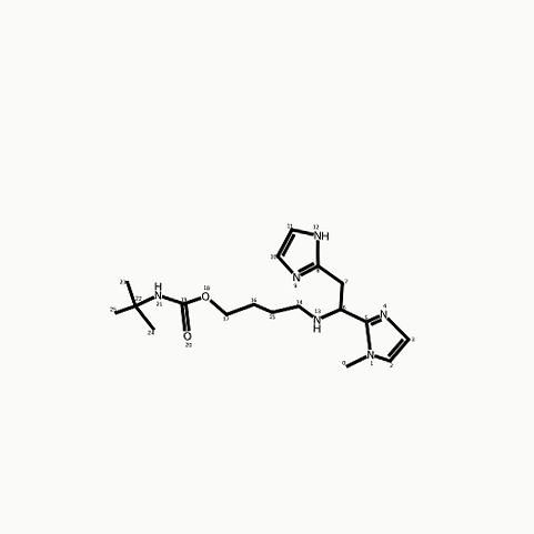 Cn1ccnc1C(Cc1ncc[nH]1)NCCCCOC(=O)NC(C)(C)C